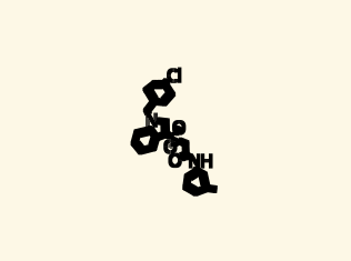 Cc1cccc(NC(=O)CS(=O)(=O)c2cn(Cc3ccc(Cl)cc3)c3ccccc23)c1